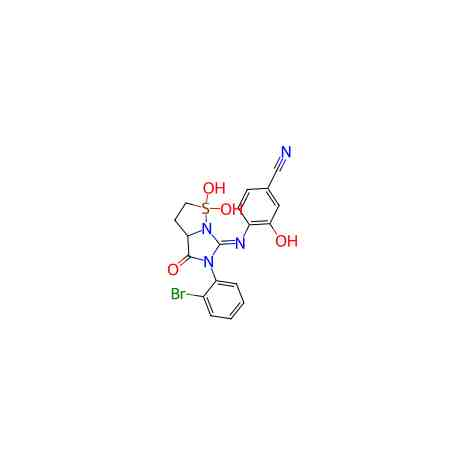 N#Cc1ccc(N=C2N(c3ccccc3Br)C(=O)C3CCS(O)(O)N23)c(O)c1